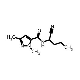 CCCC(C#N)NC(=O)c1cc(C)nn1C